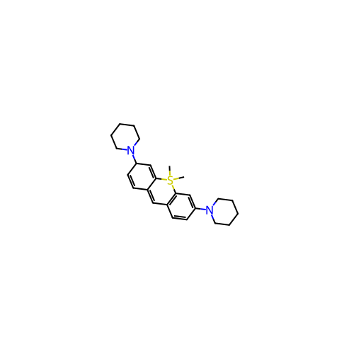 CS1(C)C2=CC(N3CCCCC3)C=CC2=Cc2ccc(N3CCCCC3)cc21